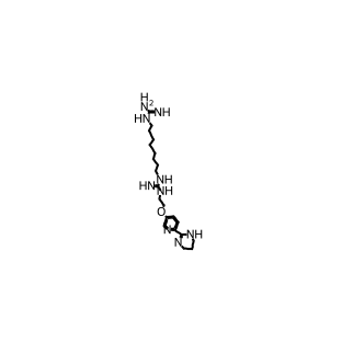 N=C(N)NCCCCCCCCNC(=N)NCCOc1ccc(C2=NCCCN2)nc1